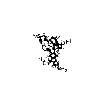 CCC(O)(c1cc(F)c2c(c1)C(=O)N(Cc1ccc(C#N)cn1)[C@@]2(O[C@H]1C[C@@H](O)C1)c1ccc(Cl)cc1)c1cnn(C)c1